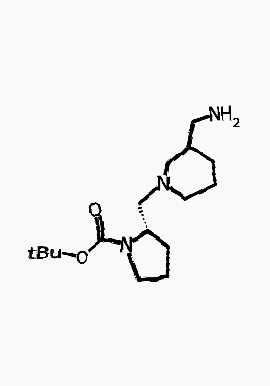 CC(C)(C)OC(=O)N1CCC[C@H]1CN1CCCC(CN)C1